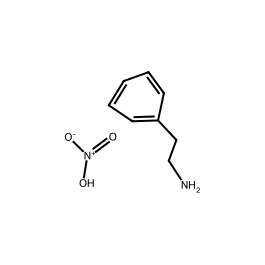 NCCc1ccccc1.O=[N+]([O-])O